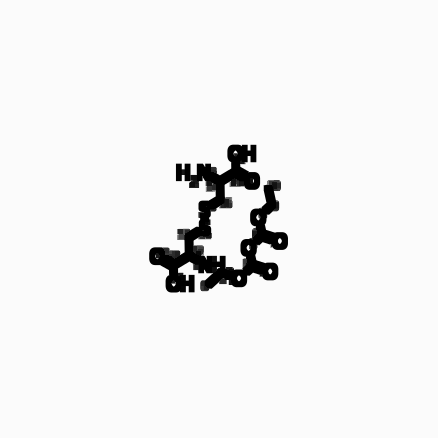 CCOC(=O)OC(=O)OCC.NC(CSSCC(N)C(=O)O)C(=O)O